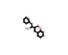 C=C(Cc1ccccc1)C1=Cc2ccccc2OC1